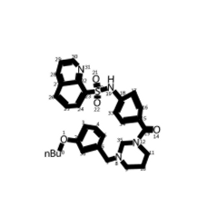 CCCCOc1cccc(CN2CCCN(C(=O)c3ccc(NS(=O)(=O)c4cccc5cccnc45)cc3)C2)c1